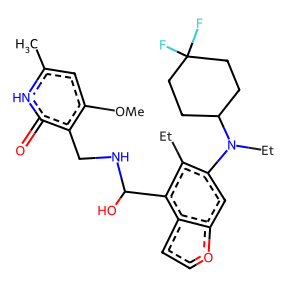 CCc1c(N(CC)C2CCC(F)(F)CC2)cc2occc2c1C(O)NCc1c(OC)cc(C)[nH]c1=O